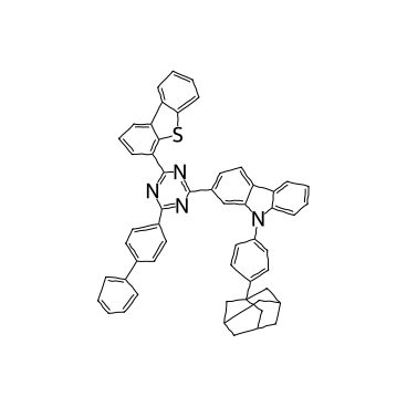 c1ccc(-c2ccc(-c3nc(-c4ccc5c6ccccc6n(-c6ccc(C78CC9CC(CC(C9)C7)C8)cc6)c5c4)nc(-c4cccc5c4sc4ccccc45)n3)cc2)cc1